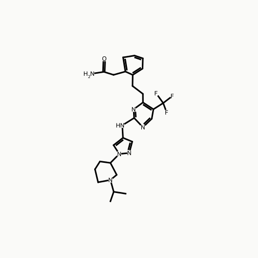 CC(C)N1CCCC(n2cc(Nc3ncc(C(F)(F)F)c(CCc4ccccc4CC(N)=O)n3)cn2)C1